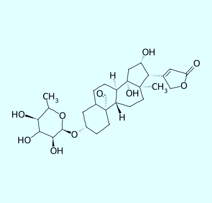 CC1O[C@@H](O[C@H]2CC[C@@]3(C=O)C(CC[C@@H]4[C@@H]3CC[C@]3(C)[C@@H](C5=CC(=O)OC5)[C@@H](O)C[C@]43O)C2)[C@@H](O)C(O)[C@H]1O